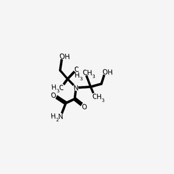 CC(C)(CO)N(C(=O)C(N)=O)C(C)(C)CO